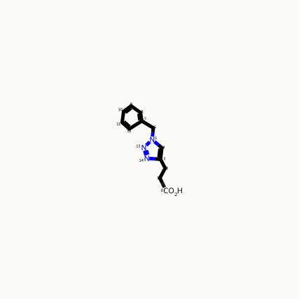 O=C(O)CCc1cn(Cc2ccccc2)nn1